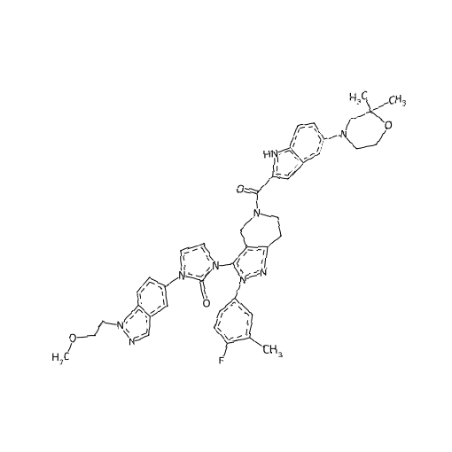 COCCn1ncc2cc(-n3ccn(-c4c5c(nn4-c4ccc(F)c(C)c4)CCN(C(=O)c4cc6cc(N7CCOC(C)(C)C7)ccc6[nH]4)C5)c3=O)ccc21